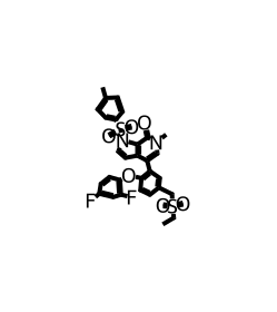 CCS(=O)(=O)Cc1ccc(Oc2ccc(F)cc2F)c(-c2cn(C)c(=O)c3c2ccn3S(=O)(=O)c2ccc(C)cc2)c1